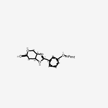 CCCCCOc1cccc(C2=NC3COC(=O)CC3O2)c1